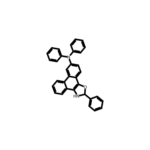 c1ccc(C2Nc3c(c4ccc(N(c5ccccc5)c5ccccc5)cc4c4ccccc34)O2)cc1